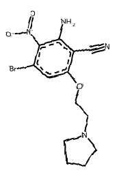 N#Cc1c(OCCN2CCCC2)cc(Br)c([N+](=O)[O-])c1N